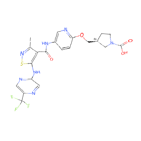 Cc1nsc(Nc2cnc(C(F)(F)F)cn2)c1C(=O)Nc1ccc(OC[C@H]2CCN(C(=O)O)C2)nc1